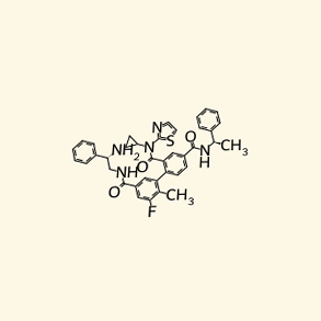 Cc1c(F)cc(C(=O)NC[C@@H](N)c2ccccc2)cc1-c1ccc(C(=O)N[C@H](C)c2ccccc2)cc1C(=O)N(c1nccs1)C1CC1